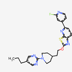 CCCc1cnc(N2CCC(CCOc3nc4ccc(-c5ccnc(F)c5)nc4s3)CC2)nc1